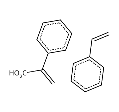 C=C(C(=O)O)c1ccccc1.C=Cc1ccccc1